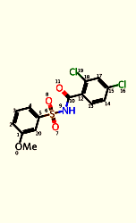 COc1cccc(S(=O)(=O)NC(=O)c2ccc(Cl)cc2Cl)c1